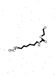 [O]CCOC(=O)NCCCCCCN[C]=O